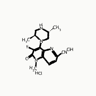 C[C@@H]1CN(c2c(F)c(=O)n(C)c3ccc(C#N)nc23)[C@@H](C)CN1.Cl.Cl